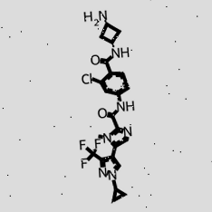 Cn1c(-c2cn(C3CC3)nc2C(F)(F)F)cnc1C(=O)Nc1ccc(C(=O)N[C@H]2C[C@@H](N)C2)c(Cl)c1